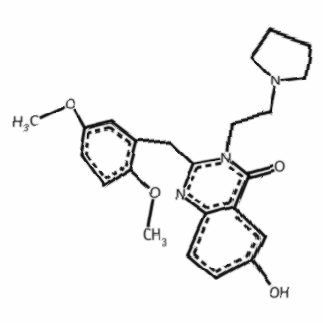 COc1ccc(OC)c(Cc2nc3ccc(O)cc3c(=O)n2CCN2CCCC2)c1